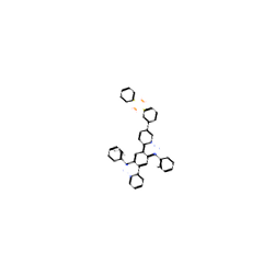 Cc1c2c(-c3ccccc3)nc3cc(-c4cccc(S(=O)(=O)c5ccccc5)c4)ccc3c2c(C)c2c(-c3ccccc3)nc3ccccc3c12